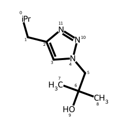 CC(C)Cc1cn(CC(C)(C)O)nn1